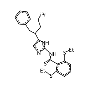 CCSc1cccc(SCC)c1C(=S)Nc1ncc(C(CCC(C)C)Cc2ccccc2)[nH]1